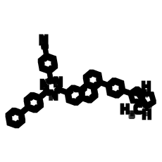 C[C@@]12CC3(c4ccc(-c5cccc6c5ccc5ccc(-c7nc(-c8ccc(C#N)cc8)nc(-c8ccc(-c9ccccc9)cc8)n7)cc56)cc4)C[C@H]1CC[C@H]2C3